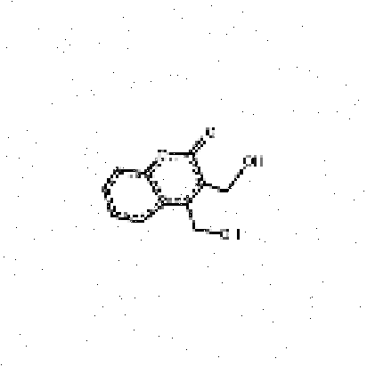 O=c1oc2ccccc2c(CO)c1CO